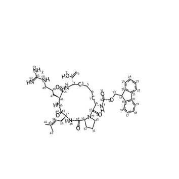 C=C(O)[C@@H]1CCCC[C@H](NC(=O)OCC2c3ccccc3-c3ccccc32)C(=O)N2CCCC2C(=O)N[C@@H](CC=C(C)C)C(=O)N[C@@H](CCCNC(=N)N)C(=O)N1